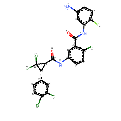 Nc1ccc(F)c(NC(=O)c2cc(NC(=O)C3[C@H](c4ccc(Cl)c(Cl)c4)C3(Cl)Cl)ccc2Cl)c1